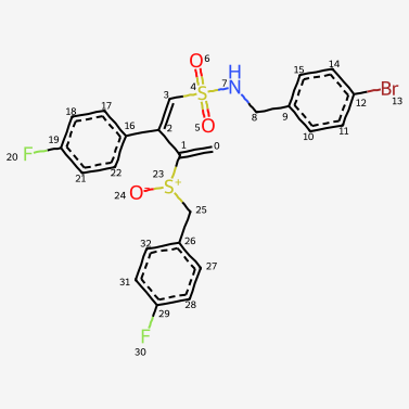 C=C(C(=CS(=O)(=O)NCc1ccc(Br)cc1)c1ccc(F)cc1)[S+]([O-])Cc1ccc(F)cc1